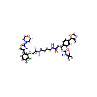 Cc1ncsc1-c1ccc([C@H](CC(=O)NCCCCNC(=O)COc2c(-c3csc(N4CCOCC4)n3)ccc(F)c2F)OC(=O)NC(C)(C)C)cc1